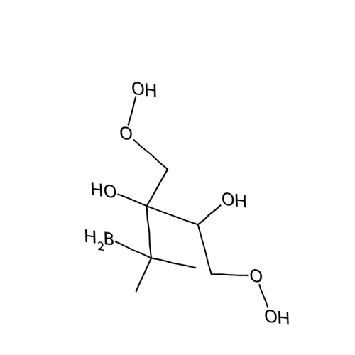 BC(C)(C)C(O)(COO)C(O)COO